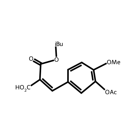 CCC(C)OC(=O)C(=Cc1ccc(OC)c(OC(C)=O)c1)C(=O)O